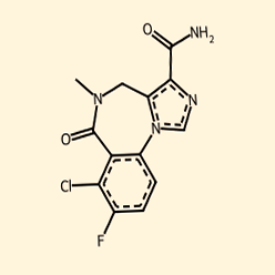 CN1Cc2c(C(N)=O)ncn2-c2ccc(F)c(Cl)c2C1=O